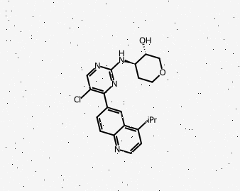 CC(C)c1ccnc2ccc(-c3nc(N[C@@H]4CCOC[C@H]4O)ncc3Cl)cc12